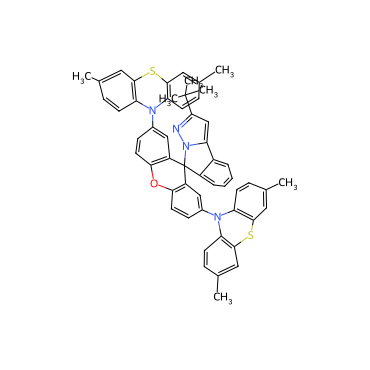 Cc1ccc2c(c1)Sc1cc(C)ccc1N2c1ccc2c(c1)C1(c3cc(N4c5ccc(C)cc5Sc5cc(C)ccc54)ccc3O2)c2ccccc2-c2cc(C(C)(C)C)nn21